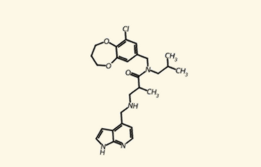 CC(C)CN(Cc1cc(Cl)c2c(c1)OCCCO2)C(=O)C(C)CNCc1ccnc2[nH]ccc12